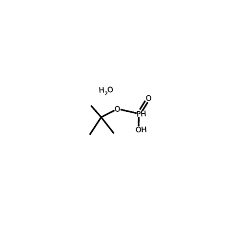 CC(C)(C)O[PH](=O)O.O